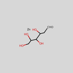 O=CCC(O)C(O)C(O)CO.[Zn]